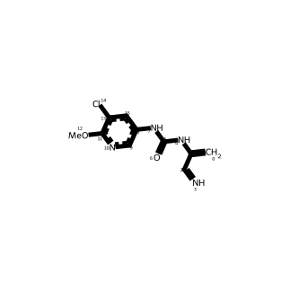 C=C(C=N)NC(=O)Nc1cnc(OC)c(Cl)c1